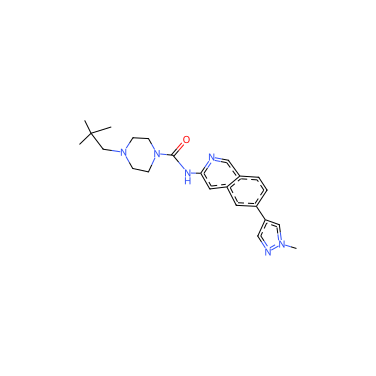 Cn1cc(-c2ccc3cnc(NC(=O)N4CCN(CC(C)(C)C)CC4)cc3c2)cn1